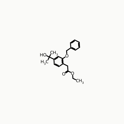 CCOC(=O)Cc1ccc(C(C)(C)O)cc1OCc1ccccc1